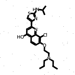 CCCN(CCC)CCOc1ccc2c(O)cc(-c3csc(NC(C)C)n3)nc2c1Cl